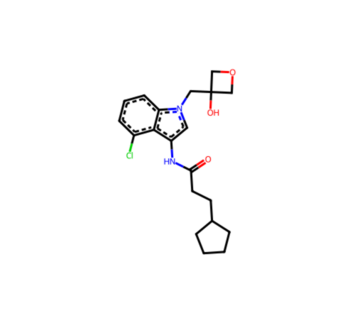 O=C(CCC1CCCC1)Nc1cn(CC2(O)COC2)c2cccc(Cl)c12